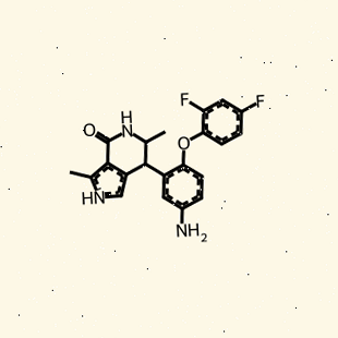 Cc1[nH]cc2c1C(=O)NC(C)C2c1cc(N)ccc1Oc1ccc(F)cc1F